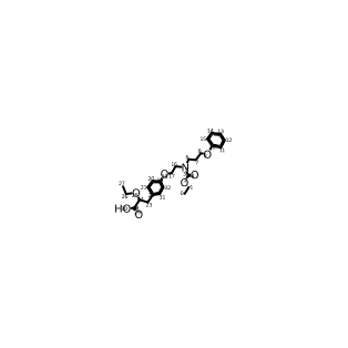 CCOC(=O)N(CCCOc1ccccc1)CCOc1ccc(CC(OCC)C(=O)O)cc1